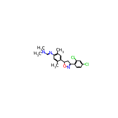 Cc1cc(C2CC(c3ccc(Cl)cc3Cl)=NO2)c(C)cc1N=CN(C)C